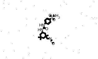 CC1(C)CC(NC(=O)Nc2ccc(S(N)(=O)=O)cc2)CC(C)(CN=C=O)C1